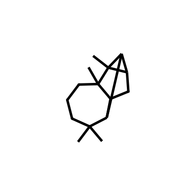 CC1(C)CCCC2(C)C3CC4C(C31)C42C